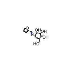 OCC1=C[C@H](/N=C/c2ccco2)[C@H](O)C(O)[C@@H]1O